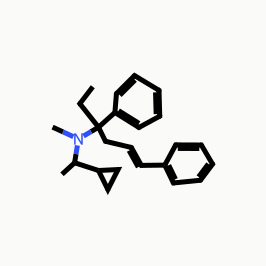 CCC(C/C=C/c1ccccc1)(c1ccccc1)N(C)C(C)C1CC1